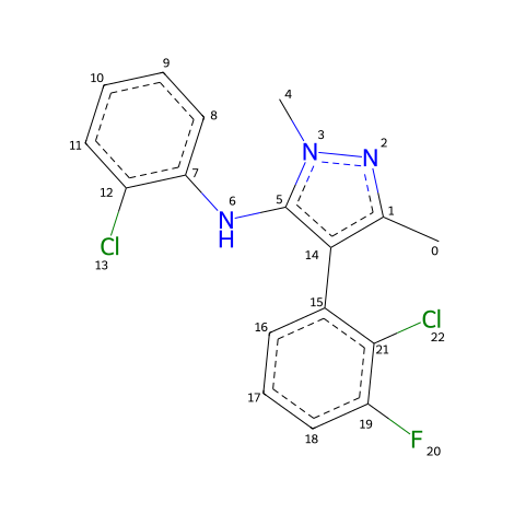 Cc1nn(C)c(Nc2ccccc2Cl)c1-c1cccc(F)c1Cl